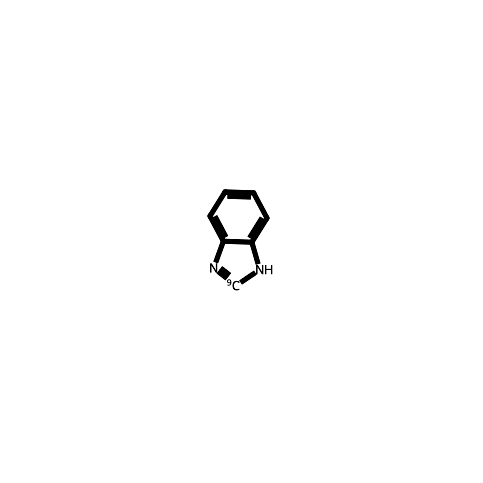 c1ccc2[nH][9cH]nc2c1